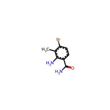 Cc1c(Br)ccc(C(N)=O)c1N